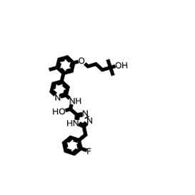 Cc1ccc(OCCCC(C)(C)O)cc1-c1ccnc(NC(O)c2nnc(Cc3ccccc3F)[nH]2)c1